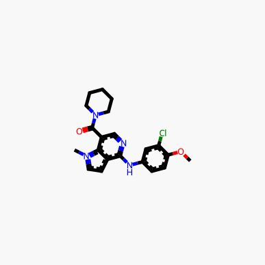 COc1ccc(Nc2ncc(C(=O)N3CCCCC3)c3c2ccn3C)cc1Cl